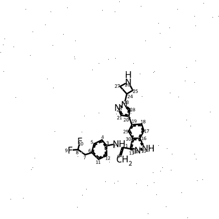 C=C(Nc1ccc(CC(F)F)cc1)c1n[nH]c2ccc(-c3cnn(C4CNC4)c3)cc12